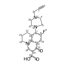 C#CCN1CCN(c2c(F)cc3c(=O)c(C(=O)O)cn4c3c2CCC4)CC1